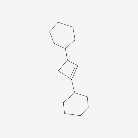 C1=C(C2CCCCC2)CC1C1CCCCC1